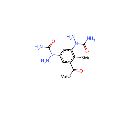 COC(=O)c1cc(N(N)C(N)=O)cc(N(N)C(N)=O)c1SC